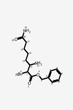 CCCCC(C(=O)OCc1ccccc1)C(N)CCCCC(N)=O